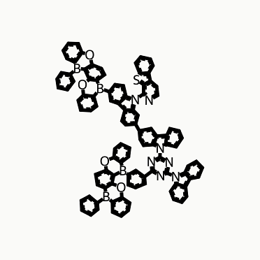 c1ccc(B2c3ccccc3Oc3c2ccc2c3B(c3cccc(-c4nc(-n5c6ccccc6c6ccccc65)nc(-n5c6ccccc6c6cc(-c7ccc8c9cc(B%10c%11ccccc%11Oc%11c%10ccc%10c%11B(c%11ccccc%11)c%11ccccc%11O%10)ccc9n(-c9nccc%10c9sc9ccccc9%10)c8c7)ccc65)n4)c3)c3ccccc3O2)cc1